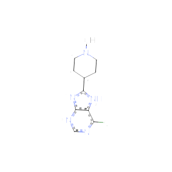 CN1CCC(c2nc3ncnc(Cl)c3[nH]2)CC1